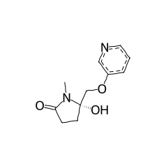 CN1C(=O)CC[C@]1(O)COc1cccnc1